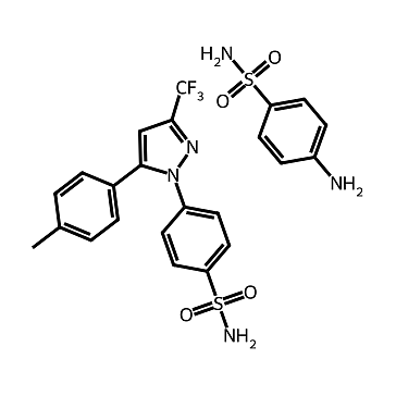 Cc1ccc(-c2cc(C(F)(F)F)nn2-c2ccc(S(N)(=O)=O)cc2)cc1.Nc1ccc(S(N)(=O)=O)cc1